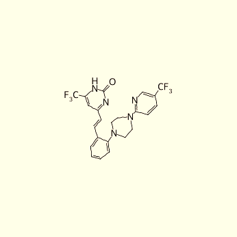 O=c1nc(C=Cc2ccccc2N2CCN(c3ccc(C(F)(F)F)cn3)CC2)cc(C(F)(F)F)[nH]1